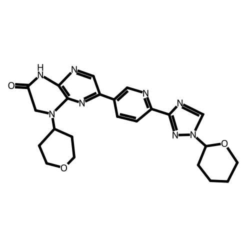 O=C1CN(C2CCOCC2)c2nc(-c3ccc(-c4ncn(C5CCCCO5)n4)nc3)cnc2N1